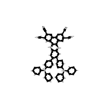 N#Cc1cc2c3cc(C#N)c(C#N)cc3c3nc4cc(-c5ccc(N(c6ccccc6)c6ccccc6)cc5)c(-c5ccc(N(c6ccccc6)c6ccccc6)cc5)cc4nc3c2cc1C#N